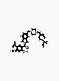 CCC(=O)N1CCC(CN2CCN(Cc3ccc4c(c3)CN(C(=O)c3cc(C(C)C)c(O)cc3O)C4)CC2)CC1